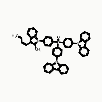 C=C/C=C\c1c(C)n(-c2ccc(P(=O)(c3ccc(-n4c5ccccc5c5ccccc54)cc3)c3ccc(-n4c5ccccc5c5ccccc54)cc3)cc2)c2ccccc12